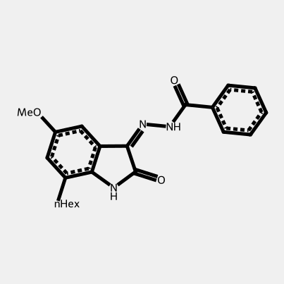 CCCCCCc1cc(OC)cc2c1NC(=O)/C2=N\NC(=O)c1ccccc1